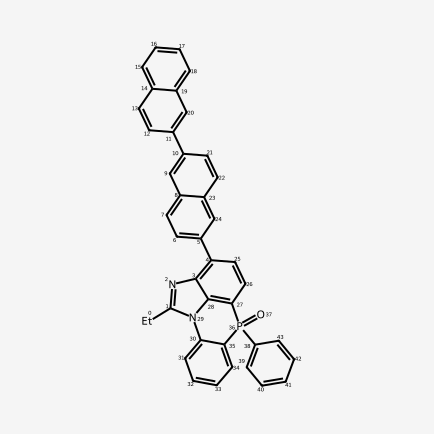 CCc1nc2c(-c3ccc4cc(-c5ccc6ccccc6c5)ccc4c3)ccc3c2n1-c1ccccc1P3(=O)c1ccccc1